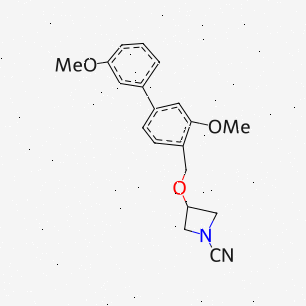 COc1cccc(-c2ccc(COC3CN(C#N)C3)c(OC)c2)c1